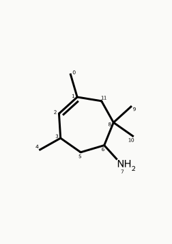 CC1=CC(C)CC(N)C(C)(C)C1